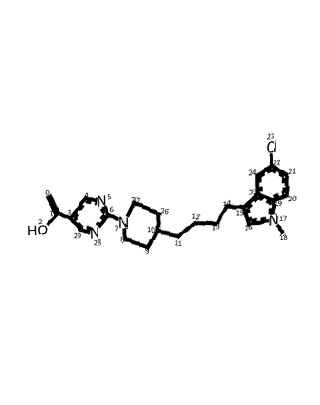 C=C(O)c1cnc(N2CCC(CCCCc3cn(C)c4ccc(Cl)cc34)CC2)nc1